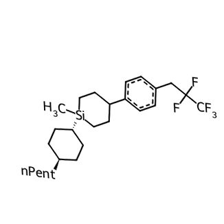 CCCCC[C@H]1CC[C@H]([Si]2(C)CCC(c3ccc(CC(F)(F)C(F)(F)F)cc3)CC2)CC1